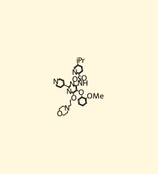 COc1ccccc1Oc1c(NS(=O)(=O)c2ccc(C(C)C)cn2)nc(-c2ccncc2)nc1OCCN1CCOCC1